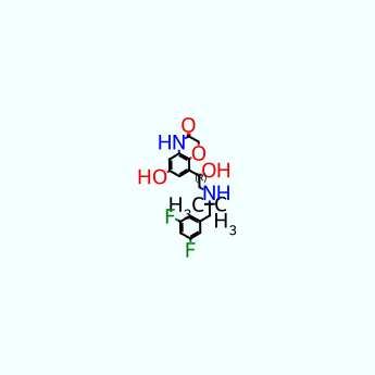 CC(C)(Cc1cc(F)cc(F)c1)NC[C@H](O)c1cc(O)cc2c1OCC(=O)N2